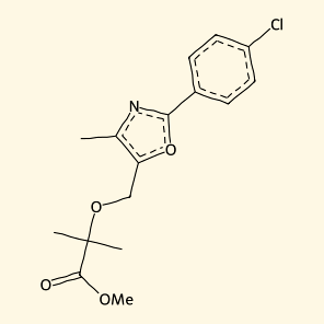 COC(=O)C(C)(C)OCc1oc(-c2ccc(Cl)cc2)nc1C